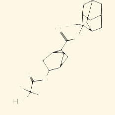 CCC(C)(C)C(=O)OC1CC2CC1CC2C(=O)OC1(CC)C2CC3CC(C2)CC1C3